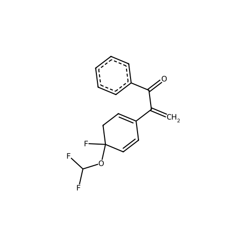 C=C(C(=O)c1ccccc1)C1=CCC(F)(OC(F)F)C=C1